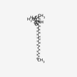 CCCCCCCCCCCCCCCCCCCCCC(=O)N[C@@H](CC(C)C)C(=O)OC